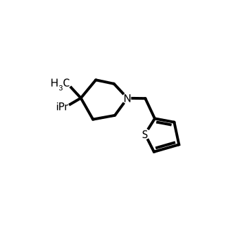 CC(C)C1(C)CCN(Cc2cccs2)CC1